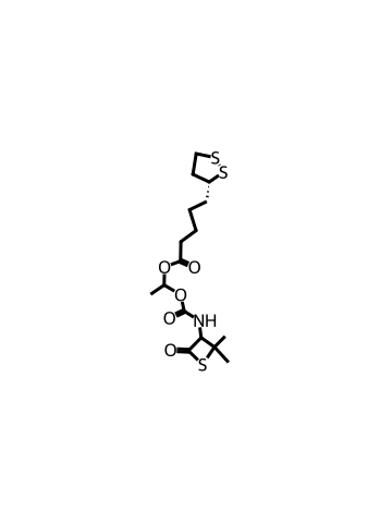 CC(OC(=O)CCCC[C@@H]1CCSS1)OC(=O)NC1C(=O)SC1(C)C